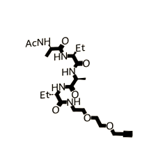 C#CCOCCOCCNC(=O)[C@H](CC)NC(=O)[C@H](C)NC(=O)[C@H](CC)NC(=O)[C@H](C)NC(C)=O